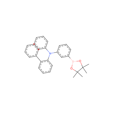 CC1(C)OB(c2cccc(N(c3ccccc3)c3ccccc3-c3ccccc3)c2)OC1(C)C